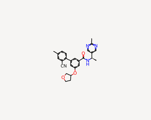 Cc1ccc(-c2cc(OC3CCOC3)cc(C(=O)N[C@H](C)c3cnc(C)nc3)c2)c(C#N)c1